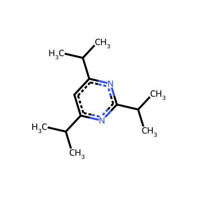 CC(C)c1cc(C(C)C)nc(C(C)C)n1